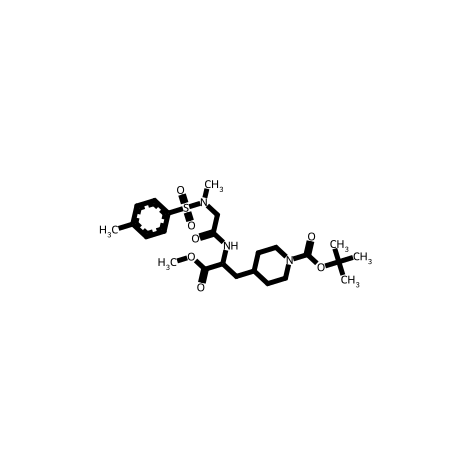 COC(=O)C(CC1CCN(C(=O)OC(C)(C)C)CC1)NC(=O)CN(C)S(=O)(=O)c1ccc(C)cc1